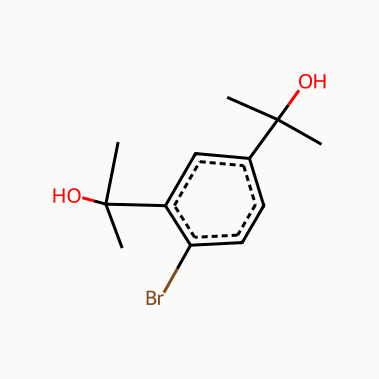 CC(C)(O)c1ccc(Br)c(C(C)(C)O)c1